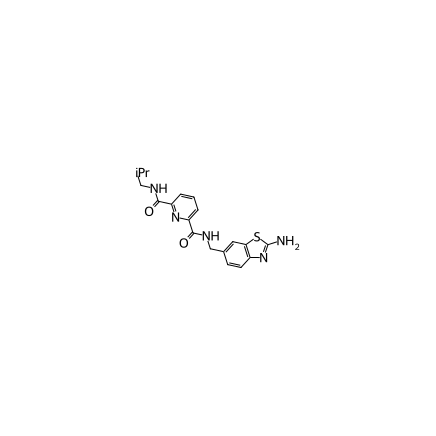 CC(C)CNC(=O)c1cccc(C(=O)NCc2ccc3nc(N)sc3c2)n1